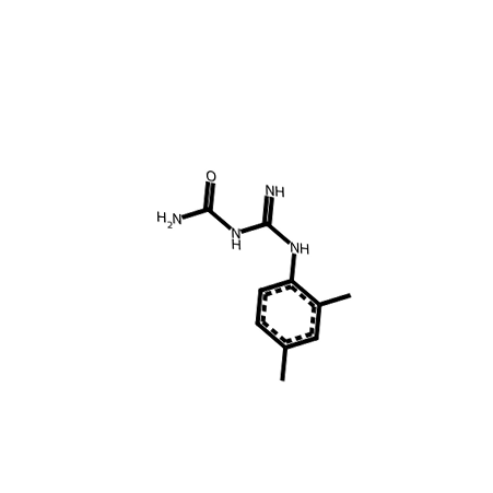 Cc1ccc(NC(=N)NC(N)=O)c(C)c1